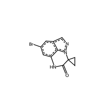 O=C1Nc2cc(Br)cc3cnn(c23)C12CC2